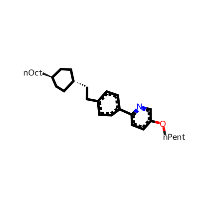 CCCCCCCC[C@H]1CC[C@H](CCc2ccc(-c3ccc(OCCCCC)cn3)cc2)CC1